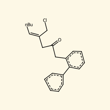 CCCC/C=C(\CCl)CC(=O)Cc1ccccc1-c1ccccc1